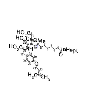 CCCCCCCC(=O)CCCCCC/C=C/[C@H](C(=O)N[C@@H](Cc1ccc(OCC=C(C)C)cc1)C(=O)O)[C@](CC(=O)O)(OC)C(=O)O